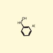 ONc1ccccc1.[Al]